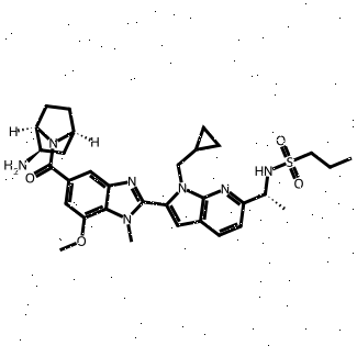 CCCS(=O)(=O)N[C@H](C)c1ccc2cc(-c3nc4cc(C(=O)N5[C@H]6CC[C@@H]5[C@H](N)C6)cc(OC)c4n3C)n(CC3CC3)c2n1